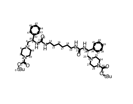 CC(C)(C)OC(=O)N1CCN(C[C@H](NC(=O)NCCCCCCNC(=O)N[C@@H](CN2CCN(C(=O)OC(C)(C)C)CC2)c2ccccc2)c2ccccc2)CC1